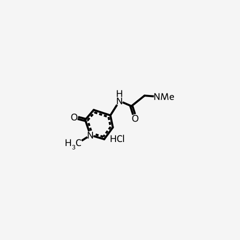 CNCC(=O)Nc1ccn(C)c(=O)c1.Cl